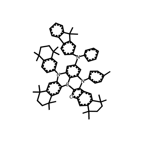 Cc1ccc(N2c3cc(N(c4ccccc4)c4ccc5c(c4)C(C)(C)c4ccccc4-5)cc4c3B(c3cc5c(cc3N4c3ccc4c(c3)C(C)(C)CCC4(C)C)C(C)(C)CCC5(C)C)c3oc4cc5c(cc4c32)C(C)(C)CCC5(C)C)cc1